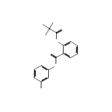 CC(C)C(C)(C)C(=O)Oc1ccccc1C(=O)Nc1cccc(N=O)c1